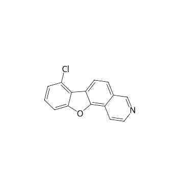 Clc1cccc2oc3c4ccncc4ccc3c12